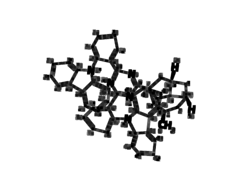 C[C@@H]1C[C@H]2C[C@H]3CC(c4nc(-c5ccccc5-n5c6ccccc6c6ccccc65)nc(-c5ccccc5-n5c6ccccc6c6ccccc65)n4)(CC23)C1